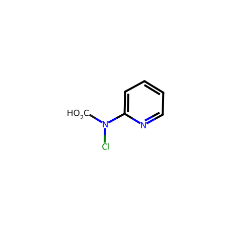 O=C(O)N(Cl)c1ccccn1